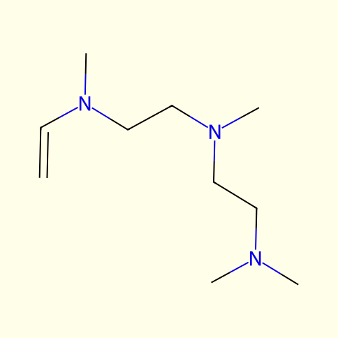 C=CN(C)CCN(C)CCN(C)C